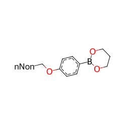 CCCCCCCCCCOc1ccc(B2OCCCO2)cc1